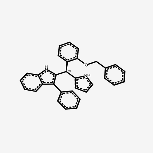 c1ccc(COc2ccccc2[C@@H](c2ccc[nH]2)c2[nH]c3ccccc3c2-c2ccccc2)cc1